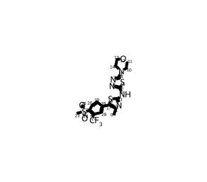 Cc1nc(Nc2nnc(N3CCOCC3)s2)sc1-c1ccc(S(C)(=O)=O)c(C(F)(F)F)c1